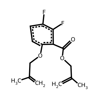 C=C(C)COC(=O)c1c(OCC(=C)C)ccc(F)c1F